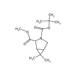 COC(=O)C1C2C(CN1C(=O)OC(C)(C)C)C2(C)C